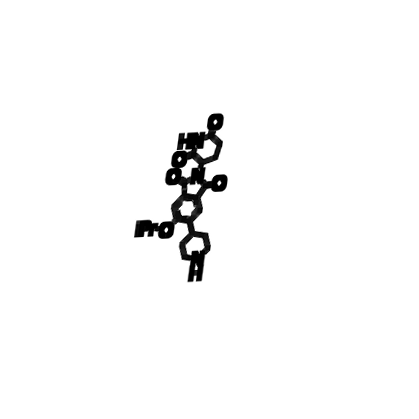 CC(C)Oc1cc2c(cc1C1CCNCC1)C(=O)N(C1CCC(=O)NC1=O)C2=O